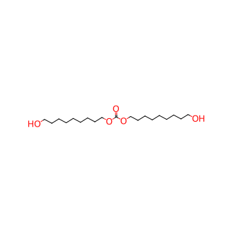 O=C(OCCCCCCCCCO)OCCCCCCCCCO